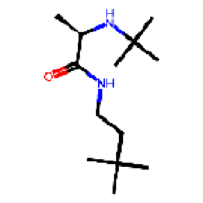 C[C@@H](NC(C)(C)C)C(=O)NCCC(C)(C)C